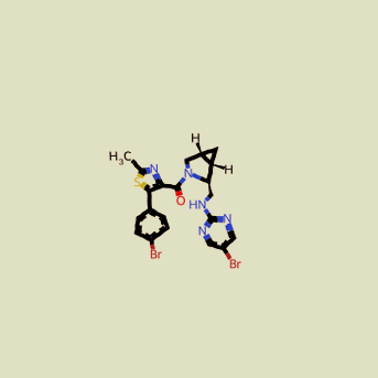 Cc1nc(C(=O)N2C[C@@H]3C[C@@H]3[C@H]2CNc2ncc(Br)cn2)c(-c2ccc(Br)cc2)s1